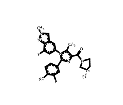 CC[C@H]1CCN(C(=O)c2nc(-c3ccc(C#N)c(F)c3)n(-c3cc(F)c4nn(C)cc4c3)c2C)C1